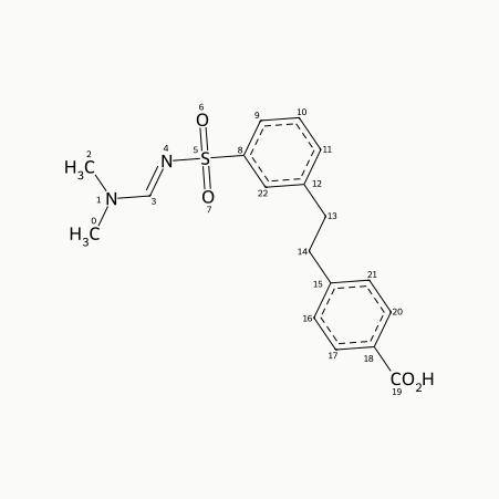 CN(C)C=NS(=O)(=O)c1cccc(CCc2ccc(C(=O)O)cc2)c1